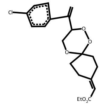 C=C(c1ccc(Cl)cc1)C1COC2(CCC(=CC(=O)OCC)CC2)OO1